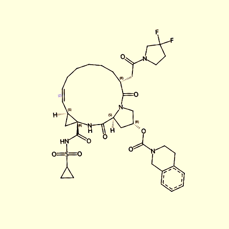 O=C1N[C@]2(C(=O)NS(=O)(=O)C3CC3)C[C@H]2/C=C\CCCCC[C@H](CC(=O)N2CCC(F)(F)C2)C(=O)N2C[C@H](OC(=O)N3CCc4ccccc4C3)C[C@@H]12